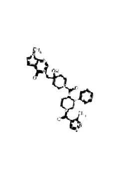 Cc1nscc1C(=O)N1CC[C@@H](C(=O)N2CCC(O)(Cn3cnc4c(ccn4C)c3=O)CC2)[C@H](c2ccccc2)C1